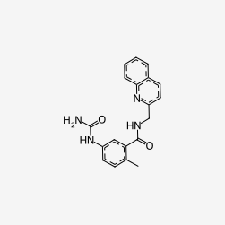 Cc1ccc(NC(N)=O)cc1C(=O)NCc1ccc2ccccc2n1